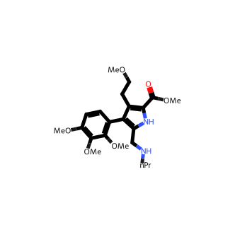 CCCNCc1[nH]c(C(=O)OC)c(CCOC)c1-c1ccc(OC)c(OC)c1OC